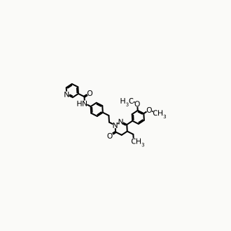 CCC1CC(=O)N(CCc2ccc(NC(=O)c3cccnc3)cc2)N=C1c1ccc(OC)c(OC)c1